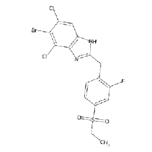 CCS(=O)(=O)c1ccc(Cc2nc3c(Cl)c(Br)c(Cl)cc3[nH]2)c(F)c1